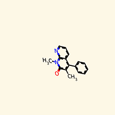 Cc1c(-c2ccccc2)c2cccnc2n(C)c1=O